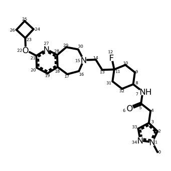 Cn1cc(CC(=O)NC2CCC(F)(CCN3CCc4ccc(OC5CCC5)nc4CC3)CC2)cn1